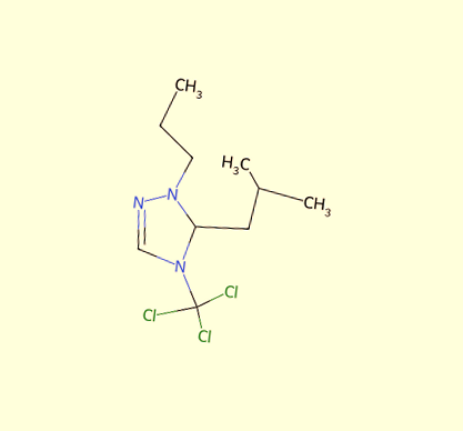 CCCN1N=CN(C(Cl)(Cl)Cl)C1CC(C)C